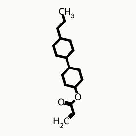 C=CC(=O)OC1CCC(C2CCC(CCC)CC2)CC1